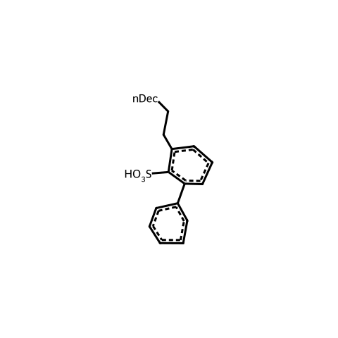 CCCCCCCCCCCCc1cccc(-c2ccccc2)c1S(=O)(=O)O